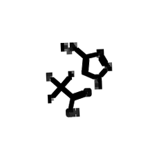 Nc1c[nH]nn1.O=C(O)C(F)(F)F